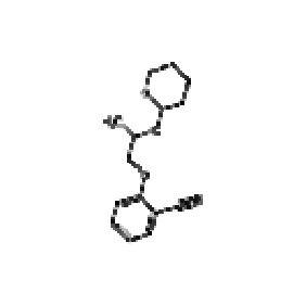 CC(COc1ccccc1C#N)OC1CCCCO1